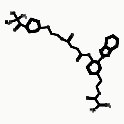 C=C(C)C(=O)OCCc1ccc(OC(=O)CCC(=O)OCCOc2ccc(C(=O)C(C)(C)O)cc2)c(-n2nc3ccccc3n2)c1